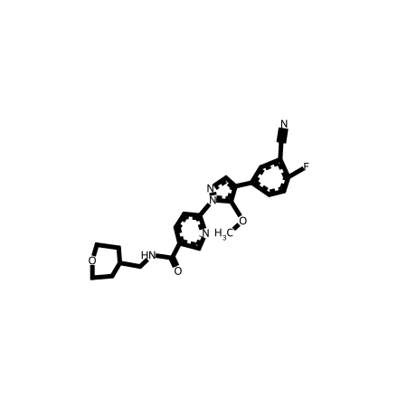 COc1c(-c2ccc(F)c(C#N)c2)cnn1-c1ccc(C(=O)NCC2CCOCC2)cn1